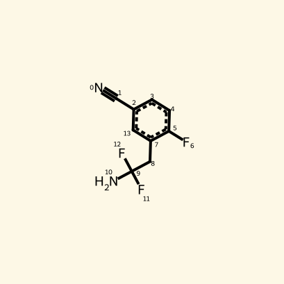 N#Cc1ccc(F)c(CC(N)(F)F)c1